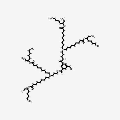 CCCCCC(CC)OC(=O)CCCCCCCCN(CCCCCCCCC(=O)OC(CC)CCCCC)CCCNC(=O)c1cc(CO)cc(C(=O)NCCCN(CCCCCCCCC(=O)OC(CC)CCCCC)CCCCCCCCC(=O)OC(CC)CCCCC)c1